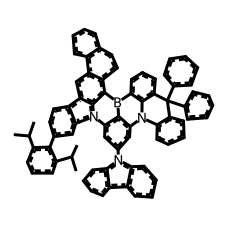 CC(C)c1cccc(C(C)C)c1-c1ccc2c3cc4c(ccc5ccccc54)c4c3n(c2c1)-c1cc(-n2c3ccccc3c3ccccc32)cc2c1B4c1cccc3c1N2c1ccccc1C3(c1ccccc1)c1ccccc1